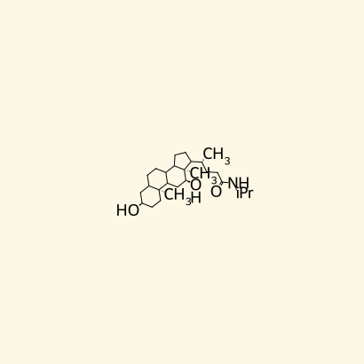 CC(C)NC(=O)CC[C@@H](C)C1CCC2C3CCC4C[C@H](O)CC[C@]4(C)C3C[C@H](O)[C@@]21C